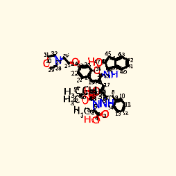 C[C@@H](C(=O)O)N(N[C@@H](Cc1ccccc1)[C@@H](O)C[C@@H](Cc1ccc(OCCN2CCOCC2)cc1)C(=O)N[C@H]1c2ccccc2C[C@H]1O)C(=O)OC(C)(C)C